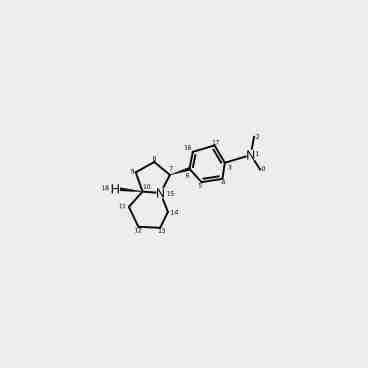 CN(C)c1ccc([C@@H]2CC[C@H]3CCCCN32)cc1